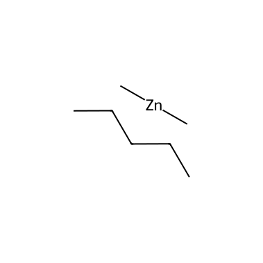 CCCCC.[CH3][Zn][CH3]